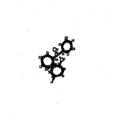 O=P(Oc1ccc(I)cc1)(c1ccccc1)c1ccccc1